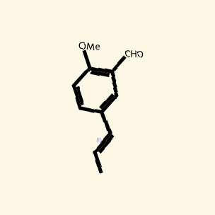 C/C=C/c1ccc(OC)c(C=O)c1